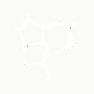 CC(C)C1=c2occc2=CN=C=C1